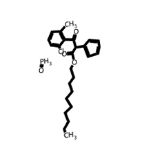 CCCCCCCCCCOC(=O)C(C(=O)c1c(C)cccc1Cl)c1ccccc1.O=[PH3]